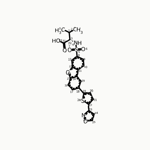 CC(C)[C@H](NS(=O)(=O)c1ccc2c(c1)oc1ccc(-c3ccc(-c4ccon4)s3)cc12)C(=O)O